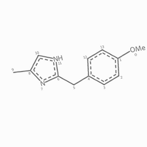 COc1ccc(Cc2nc(C)c[nH]2)cc1